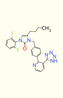 CCCCc1cn(-c2c(F)cccc2F)c(=O)n1Cc1ccc(-c2ncccc2-c2nnn[nH]2)cc1